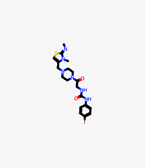 C/N=c1\scc(CN2CCN(C(=O)CNC(=O)Nc3ccc(I)cc3)CC2)n1C